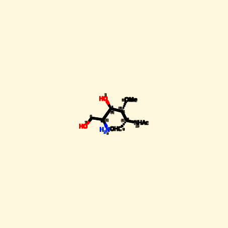 CO[C@@H]([C@H](O)[C@@H](N)CO)[C@@H](C=O)NC(C)=O